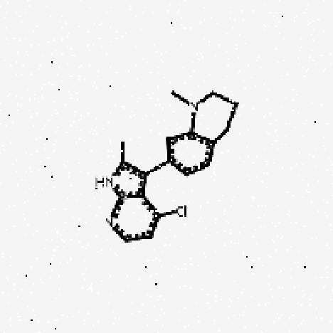 Cc1[nH]c2nccc(Cl)c2c1-c1ccc2c(c1)N(C)CCC2